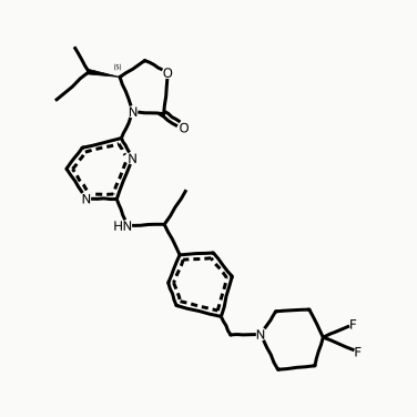 CC(Nc1nccc(N2C(=O)OC[C@@H]2C(C)C)n1)c1ccc(CN2CCC(F)(F)CC2)cc1